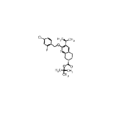 C=C(C)c1cc2c(nc1OCc1ccc(Cl)cc1F)CN(C(=O)OC(C)(C)C)CC2